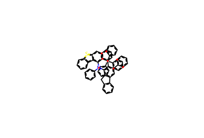 c1ccc(-c2cc3c(c(N(c4ccccc4)c4c([Si](c5ccccc5)(c5ccccc5)c5ccccc5)ccc5sc6ccccc6c45)c2-c2ccccc2)Cc2ccccc2-3)cc1